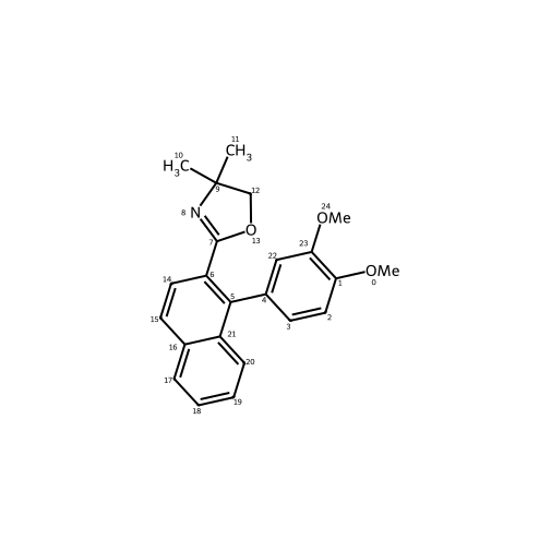 COc1ccc(-c2c(C3=NC(C)(C)CO3)ccc3ccccc23)cc1OC